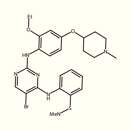 CCOc1cc(OC2CCN(C)CC2)ccc1Nc1ncc(Br)c(Nc2ccccc2SNC)n1